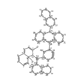 CC1=CC=C2C=CC=CC2(C)C1B(c1cc#cc(-c2c3ccccc3c(-c3ccc4ccccc4c3)c3ccccc23)c1)c1c(C)ccc2ccccc12